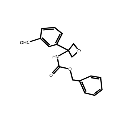 O=Cc1cccc(C2(NC(=O)OCc3ccccc3)COC2)c1